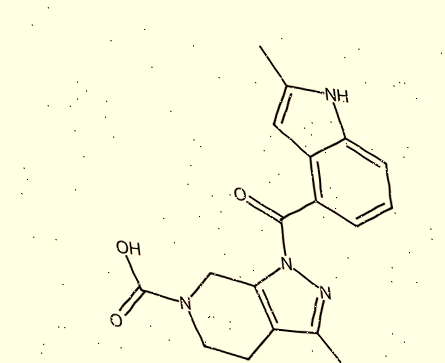 Cc1cc2c(C(=O)n3nc(N)c4c3CN(C(=O)O)CC4)cccc2[nH]1